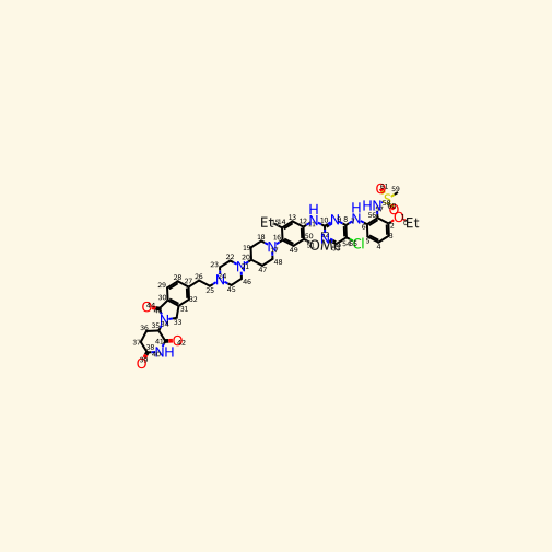 CCOc1cccc(Nc2nc(Nc3cc(CC)c(N4CCC(N5CCN(CCc6ccc7c(c6)CN(C6CCC(=O)NC6=O)C7=O)CC5)CC4)cc3OC)ncc2Cl)c1NS(C)(=O)=O